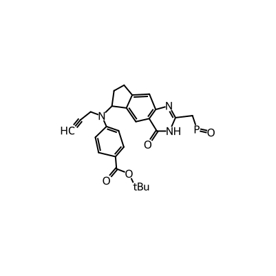 C#CCN(c1ccc(C(=O)OC(C)(C)C)cc1)C1CCc2cc3nc(CP=O)[nH]c(=O)c3cc21